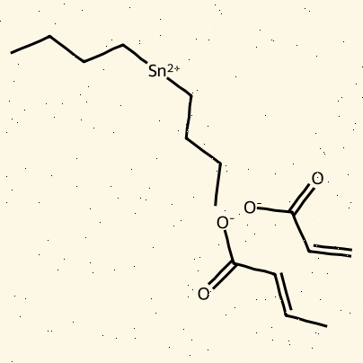 C=CC(=O)[O-].CC=CC(=O)[O-].CCC[CH2][Sn+2][CH2]CCC